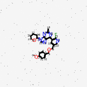 COc1ccc(COCc2cnc(F)c(-c3nc(C)nc4c3ncn4C3CCCCO3)c2)cc1